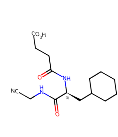 N#CCNC(=O)[C@H](CC1CCCCC1)NC(=O)CCC(=O)O